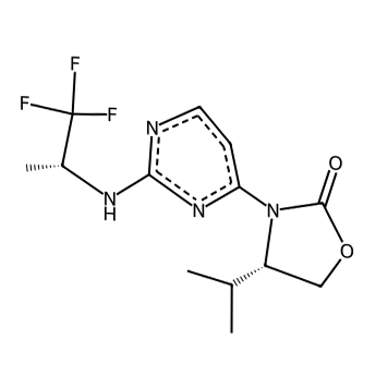 CC(C)[C@H]1COC(=O)N1c1ccnc(N[C@H](C)C(F)(F)F)n1